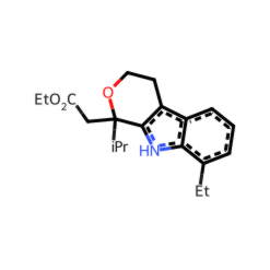 CCOC(=O)CC1(C(C)C)OCCc2c1[nH]c1c(CC)cccc21